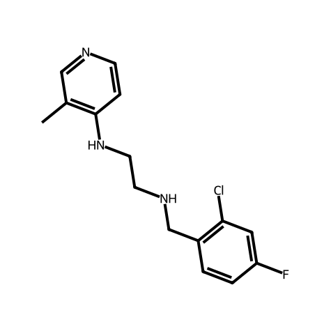 Cc1cnccc1NCCNCc1ccc(F)cc1Cl